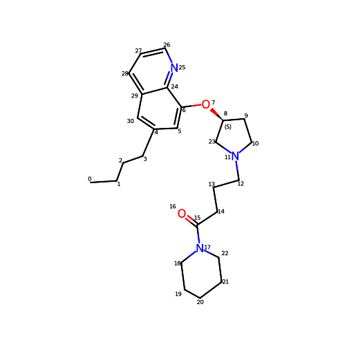 CCCCc1cc(O[C@H]2CCN(CCCC(=O)N3CCCCC3)C2)c2ncccc2c1